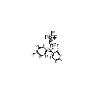 CCC[S+](c1ccccc1)c1ccc(C)cc1.F[B-](F)(F)F